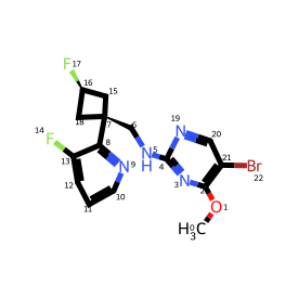 COc1nc(NC[C@]2(c3ncccc3F)C[C@H](F)C2)ncc1Br